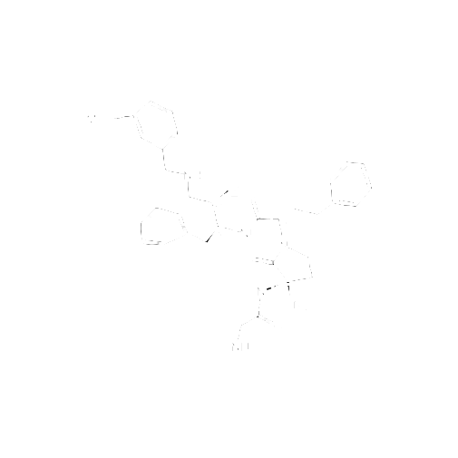 CC[C@H](C)[C@@]1(NC(=O)CN)CCN([C@@H](CCc2ccccc2)C(=O)N[C@@H](Cc2ccccc2)[C@H](O)CNCc2cccc(OC)c2)C1=O